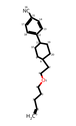 C=CCCCOCCC1CCC(c2ccc(C#N)cc2)CC1